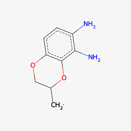 [CH2]C1COc2ccc(N)c(N)c2O1